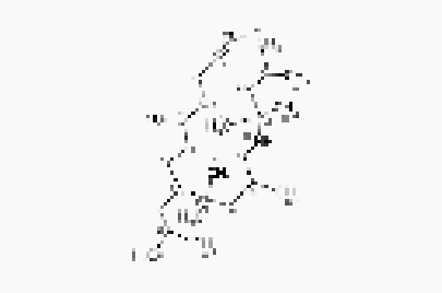 C#CCOC(=O)CCN(CC(C)C)C(C)(C)CC(C)CNC(C)(C)CC(C)C